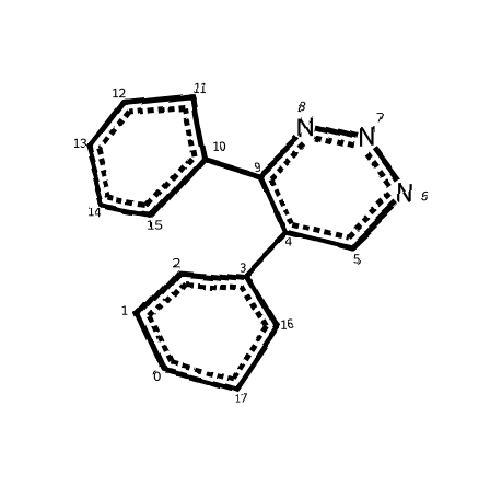 c1ccc(-c2cnnnc2-c2ccccc2)cc1